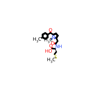 CSCC[C@H](NC(=O)Cc1ccc(C(=O)c2ccc(C)cc2)n1C)C(=O)O